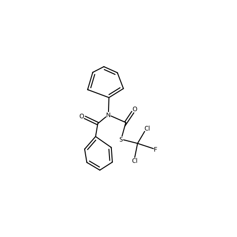 O=C(SC(F)(Cl)Cl)N(C(=O)c1ccccc1)c1ccccc1